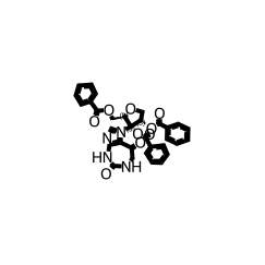 O=C1NCC(=O)c2c(ncn2[C@@]2(OC(=O)c3ccccc3)[C@@H](OC(=O)c3ccccc3)CO[C@@H]2COC(=O)c2ccccc2)N1